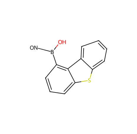 O=NB(O)c1cccc2sc3ccccc3c12